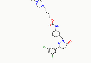 CN1CCN(CCCCOC(=O)Nc2cccc(Cn3nc(-c4cc(F)cc(F)c4)ccc3=O)c2)CC1